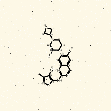 Cc1nsc(Nc2ncc3cc(Cl)c([C@H]4CCN(C5COC5)C[C@@H]4F)cc3n2)c1Cl